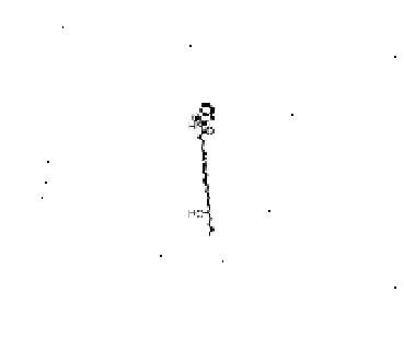 CCCCC(O)C=CCCCCCCCC=CCCCC(=O)NS(=O)(=O)c1ccccc1C